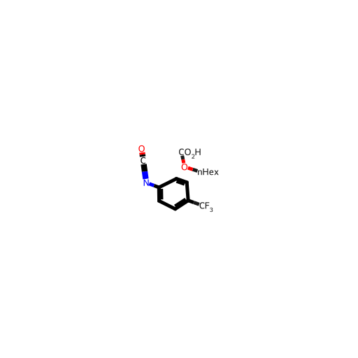 CCCCCCOC(=O)O.O=C=Nc1ccc(C(F)(F)F)cc1